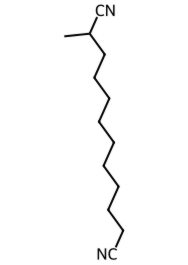 CC(C#N)CCCCCCCCCC#N